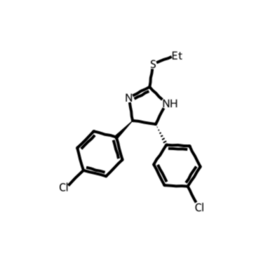 CCSC1=N[C@H](c2ccc(Cl)cc2)[C@@H](c2ccc(Cl)cc2)N1